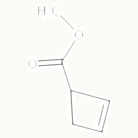 [CH2]OC(=O)C1C=CC1